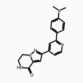 CN(C)c1ccc(-c2cc(-c3cc4n(n3)CCNC4=O)ccn2)cc1